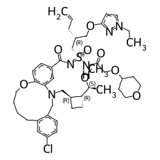 C=CC[C@H](COc1ccn(CC)n1)C[S@@](=O)(=NC(=O)c1ccc2c(c1)N(C[C@@H]1CC[C@H]1[C@H](C)OC)Cc1ccc(Cl)cc1CCCCO2)NC(=O)COC1CCOCC1